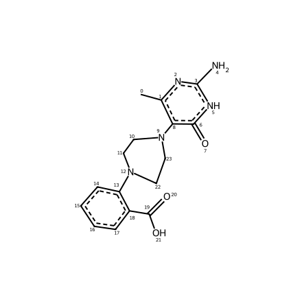 Cc1nc(N)[nH]c(=O)c1N1CCN(c2ccccc2C(=O)O)CC1